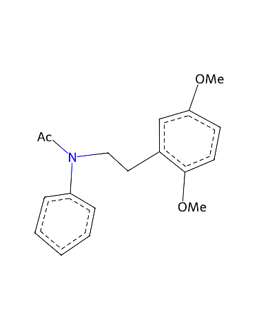 COc1ccc(OC)c(CCN(C(C)=O)c2ccccc2)c1